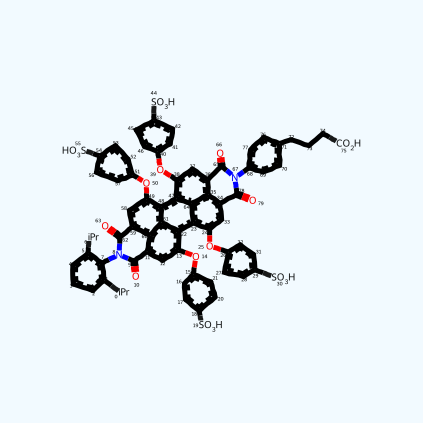 CC(C)c1cccc(C(C)C)c1N1C(=O)c2cc(Oc3ccc(S(=O)(=O)O)cc3)c3c4c(Oc5ccc(S(=O)(=O)O)cc5)cc5c6c(cc(Oc7ccc(S(=O)(=O)O)cc7)c(c7c(Oc8ccc(S(=O)(=O)O)cc8)cc(c2c37)C1=O)c64)C(=O)N(c1ccc(CCCC(=O)O)cc1)C5=O